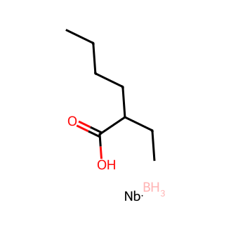 B.CCCCC(CC)C(=O)O.[Nb]